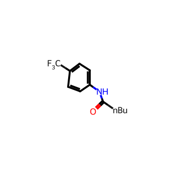 [CH2]CCCC(=O)Nc1ccc(C(F)(F)F)cc1